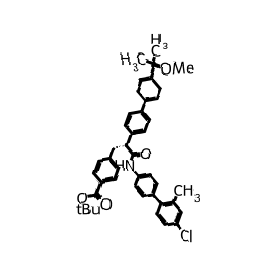 COC(C)(C)C1CC=C(c2ccc([C@@H](Cc3ccc(C(=O)OC(C)(C)C)cc3)C(=O)Nc3ccc(-c4ccc(Cl)cc4C)cc3)cc2)CC1